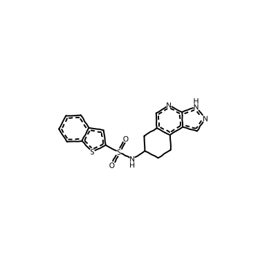 O=S(=O)(NC1CCc2c(cnc3[nH]ncc23)C1)c1cc2ccccc2s1